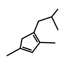 CC1=CC(C)=C(CC(C)C)C1